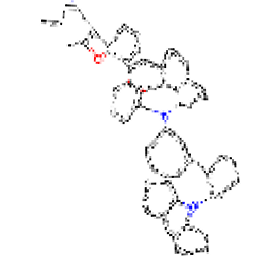 C=C/C=C\c1c(C)oc2c(-c3cccc(N(c4cccc(-c5ccccc5-n5c6ccccc6c6ccccc65)c4)c4cccc5ccc6ccccc6c45)c3)cccc12